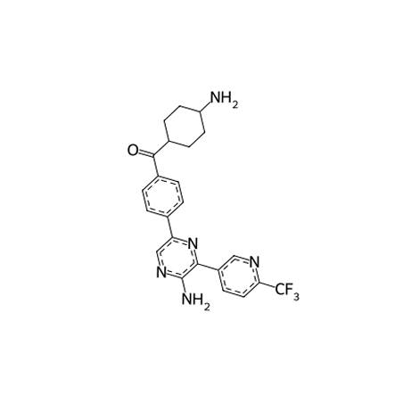 Nc1ncc(-c2ccc(C(=O)C3CCC(N)CC3)cc2)nc1-c1ccc(C(F)(F)F)nc1